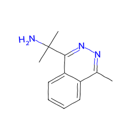 Cc1nnc(C(C)(C)N)c2ccccc12